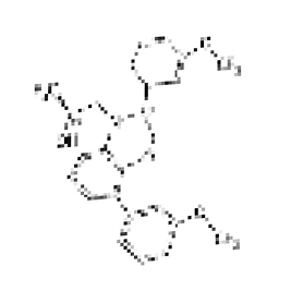 O[C@H](CN1c2cccc(-c3cccc(OC(F)(F)F)c3)c2OC[C@@H]1C1C=C(OC(F)(F)F)C=CC1)C(F)(F)F